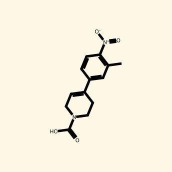 Cc1cc(C2=CCN(C(=O)O)CC2)ccc1[N+](=O)[O-]